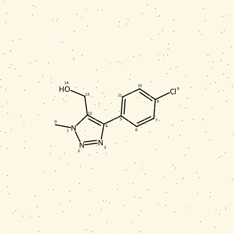 Cn1nnc(-c2ccc(Cl)cc2)c1CO